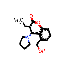 CCc1c(N2CCCC2)c2c(CO)cccc2oc1=O